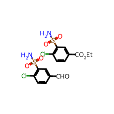 CCOC(=O)c1ccc(Cl)c(S(N)(=O)=O)c1.NS(=O)(=O)c1cc(C=O)ccc1Cl